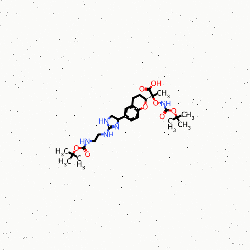 CC(C)(C)OC(=O)NCCNC1=NC(c2ccc3c(c2)CC[C@H](C(C)(ONC(=O)OC(C)(C)C)C(=O)O)O3)CN1